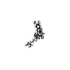 CCN(CC)CCCOc1nnc2c(n1)c(=O)n(C)c(=O)n2Cc1ccc(F)c(F)c1